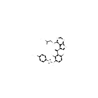 Cc1ccc(S(=O)(=O)Nc2ccc(F)c(C(=O)c3c[nH]c4ncnc(NCC(C)C)c34)c2F)cc1